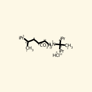 CC(C)C(C)(N)C(C)C.CC(C)C(C)CCCC(=O)O.Cl